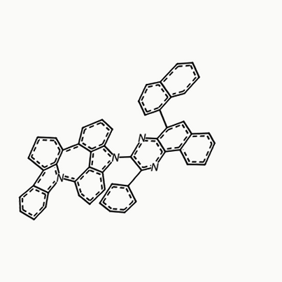 c1ccc(-c2nc3c(nc2-n2c4cccc5c6cccc7c8ccccc8n(c8cccc2c8c54)c67)c(-c2cccc4ccccc24)cc2ccccc23)cc1